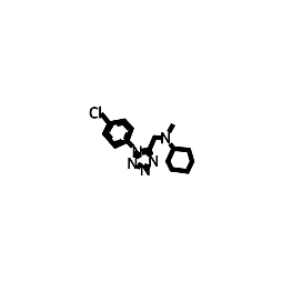 CN(Cc1nnnn1-c1ccc(Cl)cc1)C1CCCCC1